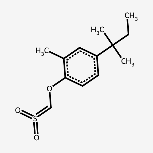 CCC(C)(C)c1ccc(OC=S(=O)=O)c(C)c1